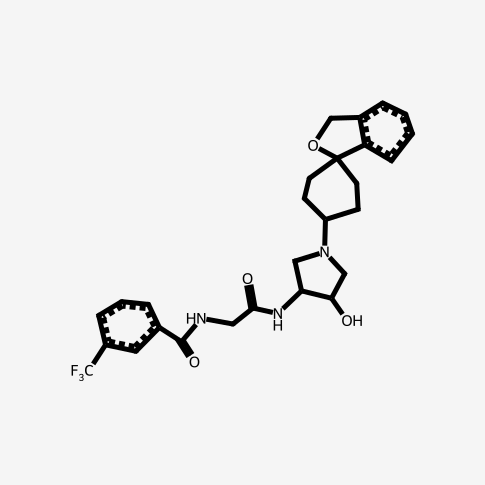 O=C(CNC(=O)c1cccc(C(F)(F)F)c1)NC1CN(C2CCC3(CC2)OCc2ccccc23)CC1O